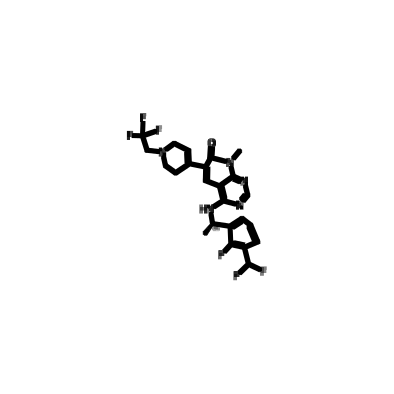 C[C@@H](Nc1ncnc2c1cc(C1=CCN(CC(F)(F)F)CC1)c(=O)n2C)c1cccc(C(F)F)c1F